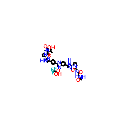 CC(=O)NCC(=O)NCC(=O)N1CCC[C@H]1c1ncc(-c2ccc3nc(-c4ccc(-c5c[nH]c([C@@H]6CCCN6C(=O)[C@H](C(C)C)N(C)C(=O)O)n5)cc4)cnc3c2)[nH]1.O=C(O)C(F)(F)F